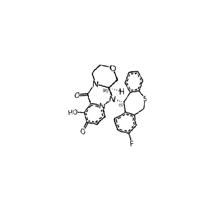 O=C1c2c(O)c(=O)ccn2N([C@H]2c3ccc(F)cc3CSc3ccccc32)[C@@H]2COCCN12